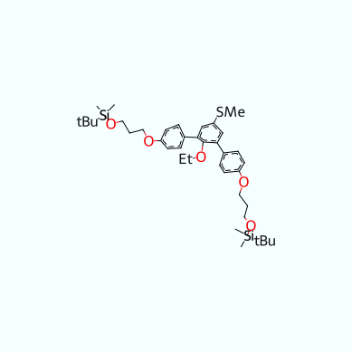 CCOc1c(-c2ccc(OCCCO[Si](C)(C)C(C)(C)C)cc2)cc(SC)cc1-c1ccc(OCCCO[Si](C)(C)C(C)(C)C)cc1